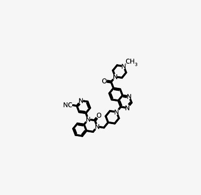 CN1CCN(C(=O)c2ccc3c(N4CCC(CN5Cc6ccccc6N(c6ccnc(C#N)c6)C5=O)CC4)ncnc3c2)CC1